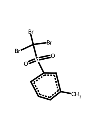 Cc1cccc(S(=O)(=O)C(Br)(Br)Br)c1